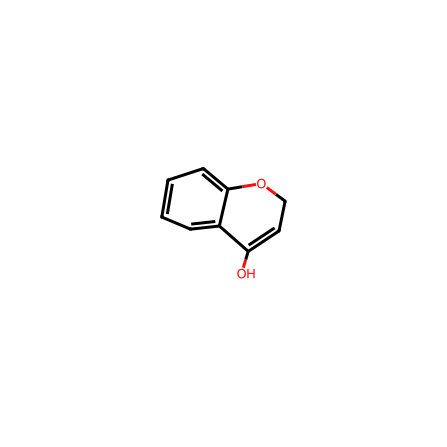 OC1=CCOc2ccccc21